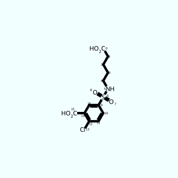 O=C(O)CCCCNS(=O)(=O)c1ccc(Cl)c(C(=O)O)c1